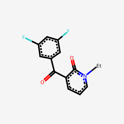 CCn1cccc(C(=O)c2cc(F)cc(F)c2)c1=O